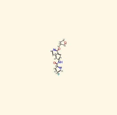 O=C(Nc1ccc2c(OCC3CCOC3)nccc2c1)c1ccc(F)cn1